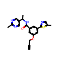 C#CCOc1cc(C(=O)NC(C)c2cnc(C)nc2)cc(-c2ncc(C)s2)c1